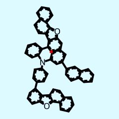 c1cc(-c2ccc3ccccc3c2)cc(N(c2ccc(-c3cccc4oc5c6ccccc6ccc5c34)cc2)c2ccccc2-c2cccc3oc4c5ccccc5ccc4c23)c1